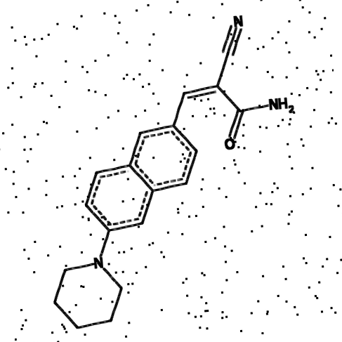 N#CC(=Cc1ccc2cc(N3CCCCC3)ccc2c1)C(N)=O